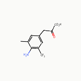 Cc1cc(CC(=O)C(=O)O)cc(C(F)(F)F)c1N